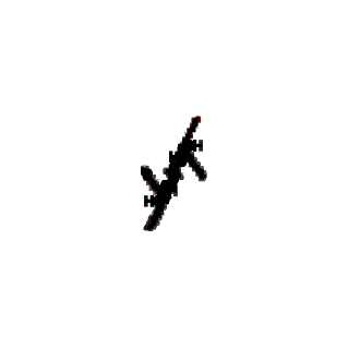 CCCCCCCCCCC(O)CN(CCCC(=O)OCCN1CC(C)N(CCOC(=O)CCCN(CC(O)CCCCCCCCCC)CC(O)CCCCCCCCCC)CC1C)CC(O)CCCCCCCCCC